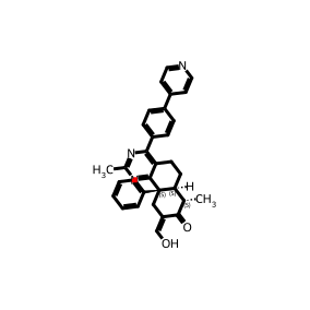 Cc1nc(-c2ccc(-c3ccncc3)cc2)c2c(n1)[C@@]1(c3ccccc3)CC(=CO)C(=O)[C@@H](C)[C@@H]1CC2